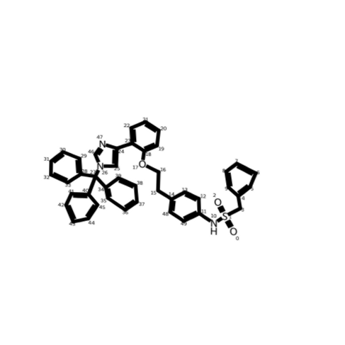 O=S(=O)(Cc1ccccc1)Nc1ccc(CCOc2ccccc2-c2cn(C(c3ccccc3)(c3ccccc3)c3ccccc3)cn2)cc1